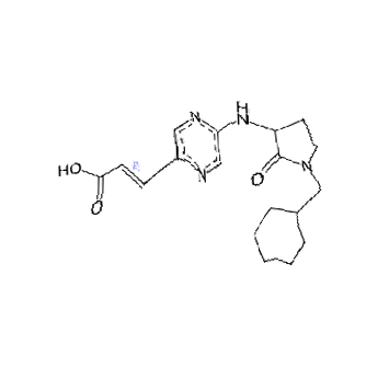 O=C(O)/C=C/c1cnc(NC2CCN(CC3CCCCC3)C2=O)cn1